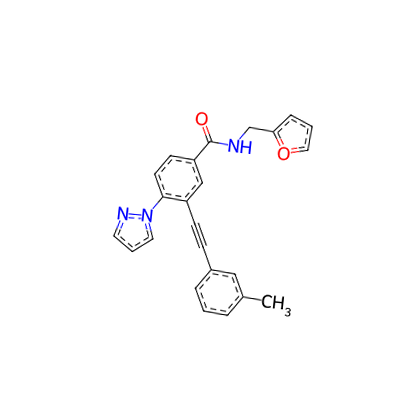 Cc1cccc(C#Cc2cc(C(=O)NCc3ccco3)ccc2-n2cccn2)c1